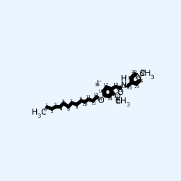 CCCCCCCCCCCCCCOc1ccc(CC(=O)NCc2cc[n+](C)cc2)c(OC)c1.[I-]